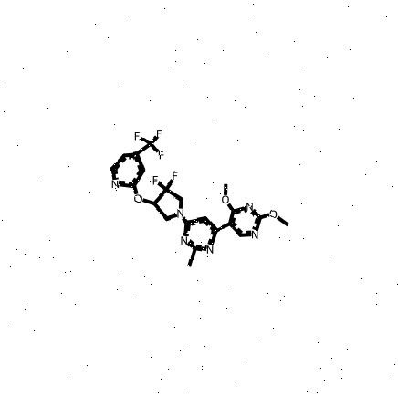 COc1ncc(-c2cc(N3CC(Oc4cc(C(F)(F)F)ccn4)C(F)(F)C3)nc(C)n2)c(OC)n1